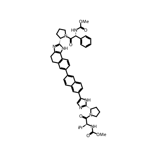 COC(=O)N[C@H](C(=O)N1CCC[C@H]1c1ncc(-c2ccc3cc(-c4ccc5c(c4)CCc4nc([C@@H]6CCCN6C(=O)[C@H](NC(=O)OC)c6ccccc6)[nH]c4-5)ccc3c2)[nH]1)C(C)C